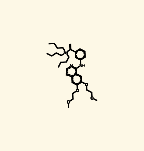 C=[C](c1cccc(Nc2ncnc3cc(OCCOC)c(OCCOC)cc23)c1)[Sn]([CH2]CCC)([CH2]CCC)[CH2]CCC